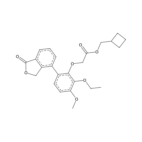 CCOc1c(OC)ccc(-c2cccc3c2COC3=O)c1OCC(=O)OCC1CCC1